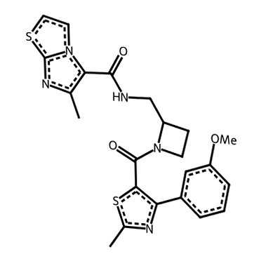 COc1cccc(-c2nc(C)sc2C(=O)N2CCC2CNC(=O)c2c(C)nc3sccn23)c1